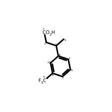 CC(CC(=O)O)c1cccc(C(F)(F)F)c1